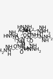 CC(=O)CNC(=O)[C@H](CCCCNC(=N)N)NC(=O)[C@H](CCCNC(=N)N)NC(=O)[C@H](CCCNC(=N)N)NC(=O)[C@H](CCCNC(=N)N)NC(=O)[C@H](CCCNC(=N)N)NC(=O)[C@H](CCCNC(=N)N)NC(C)=O